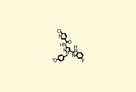 COc1ccc(Cn2nc(NC(=O)c3ccc(Cl)nc3)cc2-c2nc3cc(F)ccc3[nH]2)cc1